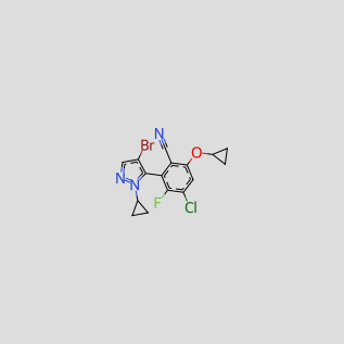 N#Cc1c(OC2CC2)cc(Cl)c(F)c1-c1c(Br)cnn1C1CC1